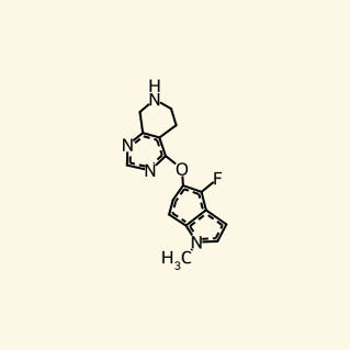 Cn1ccc2c(F)c(Oc3ncnc4c3CCNC4)ccc21